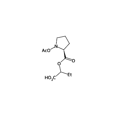 CCC(OC(=O)[C@@H]1CCCN1OC(C)=O)C(=O)O